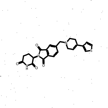 O=C1CCC(N2C(=O)c3ccc(CN4CC=C(c5ccsc5)CC4)cc3C2=O)C(=O)N1